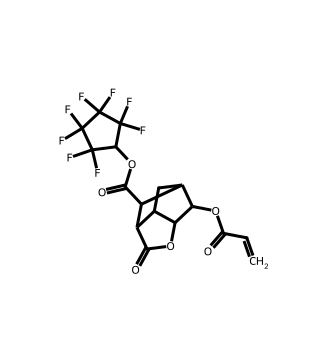 C=CC(=O)OC1C2CC3C1OC(=O)C3C2C(=O)OC1C(F)(F)C(F)(F)C(F)(F)C1(F)F